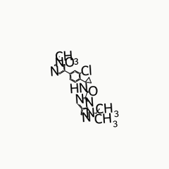 CC(C)n1ncc2cnc(C(=O)NC3(c4ccc(-c5cncn(C)c5=O)cc4Cl)CC3)nc21